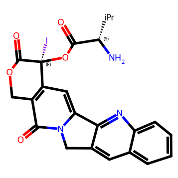 CC(C)[C@H](N)C(=O)O[C@]1(I)C(=O)OCc2c1cc1n(c2=O)Cc2cc3ccccc3nc2-1